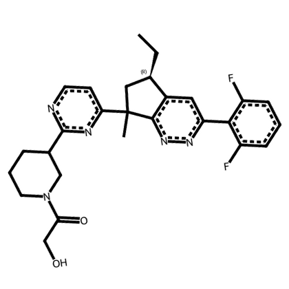 CC[C@@H]1CC(C)(c2ccnc(C3CCCN(C(=O)CO)C3)n2)c2nnc(-c3c(F)cccc3F)cc21